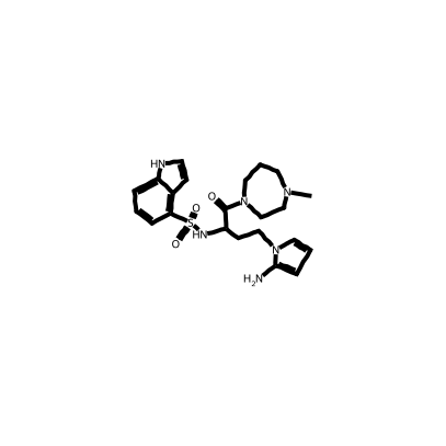 CN1CCCN(C(=O)C(CCn2cccc2N)NS(=O)(=O)c2cccc3[nH]ccc23)CC1